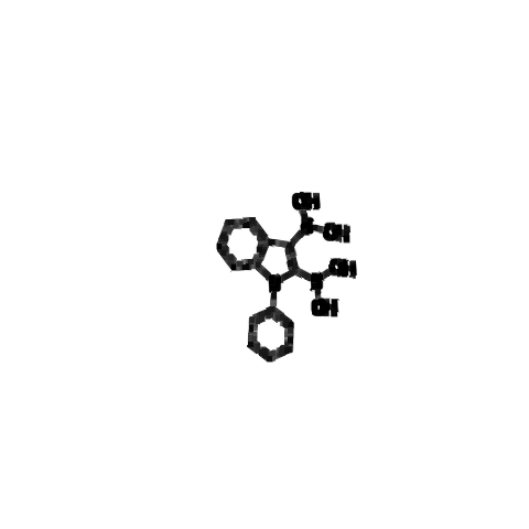 OB(O)C1=C(B(O)O)c2ccccc2B1c1ccccc1